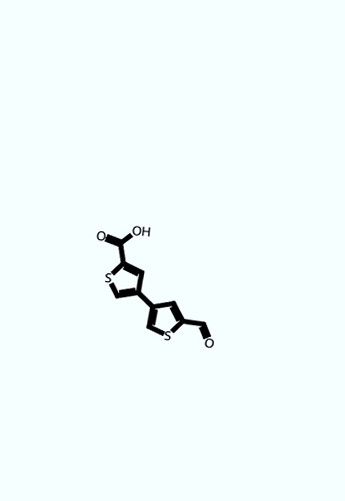 O=Cc1cc(-c2csc(C(=O)O)c2)cs1